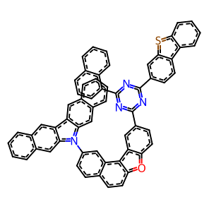 c1ccc2cc3c(cc2c1)c1cc2ccccc2cc1n3-c1ccc2ccc3oc4ccc(-c5nc(-c6ccc7c(c6)sc6ccccc67)nc(-c6cccc7ccccc67)n5)cc4c3c2c1